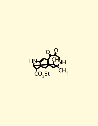 CCOC(=O)C1C2CC3=C4C=C2NC1C(C)C(C)(C3)NCC(=O)C4=O